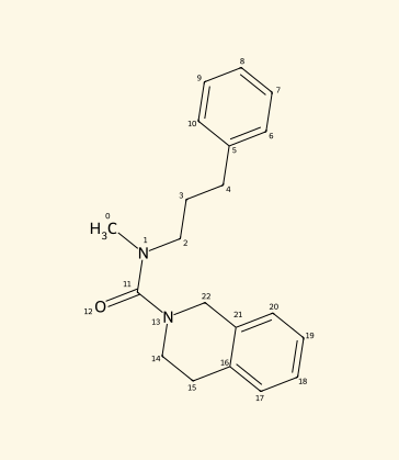 CN(CCCc1ccccc1)C(=O)N1CCc2ccccc2C1